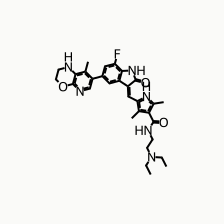 CCN(CC)CCNC(=O)c1c(C)[nH]c(C=C2C(=O)Nc3c(F)cc(-c4cnc5c(c4C)NCCO5)cc32)c1C